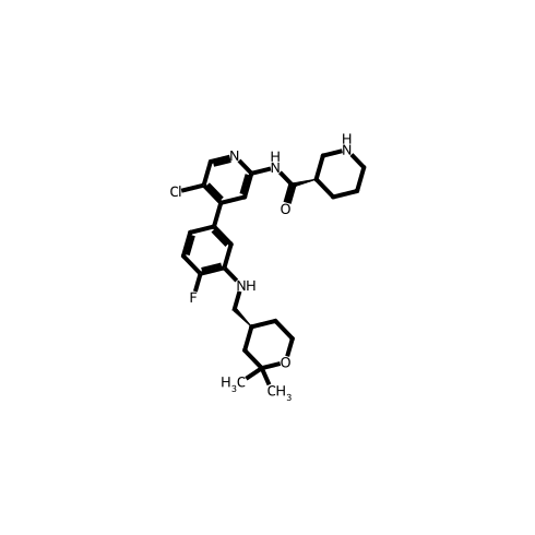 CC1(C)C[C@@H](CNc2cc(-c3cc(NC(=O)[C@@H]4CCCNC4)ncc3Cl)ccc2F)CCO1